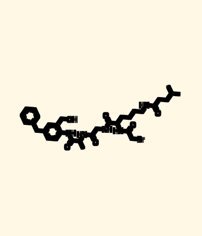 CC(C)CCC(=O)NCCCCC(NC(=O)CBr)C(=O)NCC(=O)NC(C)C(=O)Nc1ccc(Cc2ccccc2)cc1CO